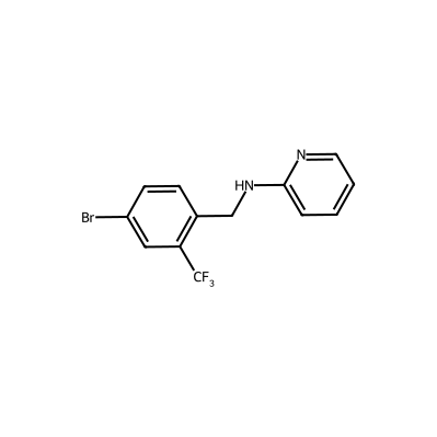 FC(F)(F)c1cc(Br)ccc1CNc1ccccn1